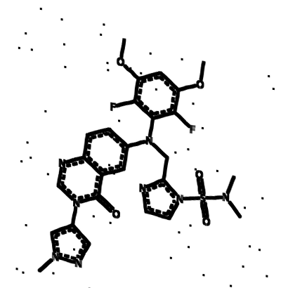 COc1cc(OC)c(F)c(N(Cc2nccn2S(=O)(=O)N(C)C)c2ccc3ncn(-c4cnn(C)c4)c(=O)c3c2)c1F